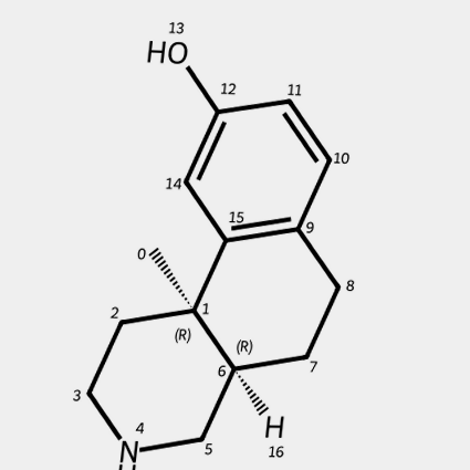 C[C@@]12CCNC[C@@H]1CCc1ccc(O)cc12